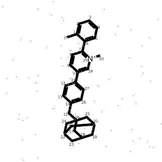 Cc1ccccc1-c1ccc(-c2ccc(CC34CC5CC(CC(C5)C3)C4)cc2)c[n+]1C